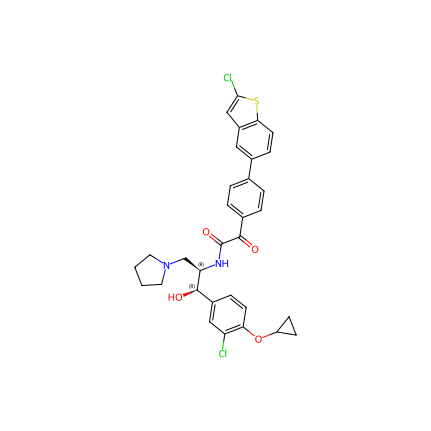 O=C(N[C@H](CN1CCCC1)[C@H](O)c1ccc(OC2CC2)c(Cl)c1)C(=O)c1ccc(-c2ccc3sc(Cl)cc3c2)cc1